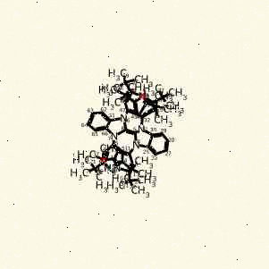 CC(C)(C)c1cc(N2C(=C3N(c4cc(C(C)(C)C)nc(C(C)(C)C)c4)c4ccccc4N3c3cc(C(C)(C)C)nc(C(C)(C)C)c3)N(c3cc(C(C)(C)C)nc(C(C)(C)C)c3)c3ccccc32)cc(C(C)(C)C)n1